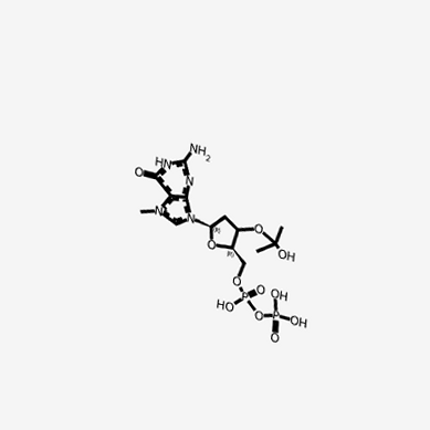 C[n+]1cn([C@H]2CC(OC(C)(C)O)[C@@H](COP(=O)(O)OP(=O)(O)O)O2)c2nc(N)[nH]c(=O)c21